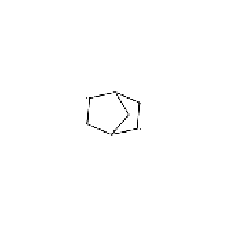 [CH]1CC2[CH]CC1C2